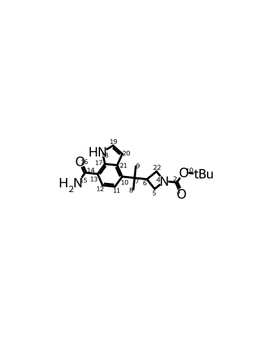 CC(C)(C)OC(=O)N1CC(C(C)(C)c2ccc(C(N)=O)c3[nH]ccc23)C1